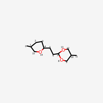 CC1CCC(CCC2OCC(C)CO2)OC1